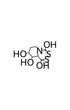 OC(=S)C1C(O)C(O)CCN1C(O)=S